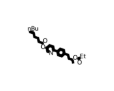 CCCCC=CCCCC(=O)Oc1ccc(-c2ccc(CCC(C)OC(=O)CC)cc2)nc1